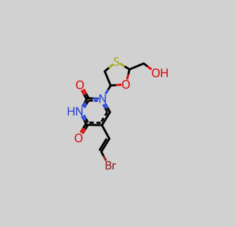 O=c1[nH]c(=O)n(C2CSC(CO)O2)cc1C=CBr